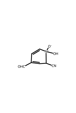 N#CC1C=C(C=O)C=C[N+]1([O-])O